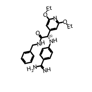 CCOc1cc([C@H](Nc2ccc(C(=N)N)cc2)C(=O)NCc2ccccc2)cc(OCC)n1